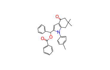 Cc1ccc(-n2c(C(OC(=O)c3ccccc3)c3ccccc3)cc3c2CC(C)(C)CC3=O)cc1